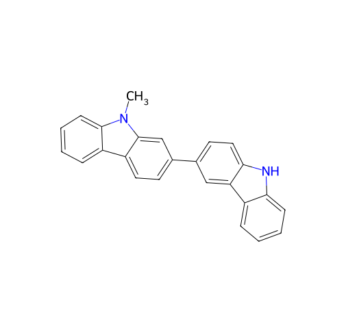 Cn1c2ccccc2c2ccc(-c3ccc4[nH]c5ccccc5c4c3)cc21